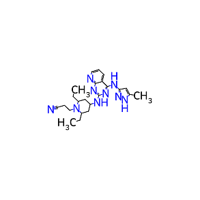 CCC1CC(Nc2nc(Nc3cc(C)[nH]n3)c3cccnc3n2)CC(CC)N1CCC#N